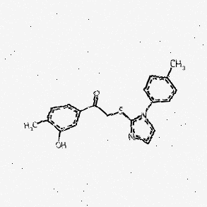 Cc1ccc(-n2ccnc2SCC(=O)c2ccc(C)c(O)c2)cc1